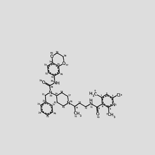 Cc1cc(Cl)nc(C)c1C(=O)NCCC(C)N1CCC(N(Cc2ccccc2)C(=O)Nc2ccc3c(c2)OCCO3)CC1